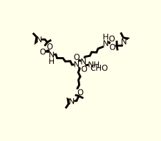 CC1CN1CC(C)(C)OCCCCCCN(CCCCCCNC(=O)OC(C)(C)CN1CC1C)C(=O)N(CCCCCCNC(=O)OC(C)(C)CN1CC1C)C(=O)NC=O